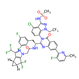 Cc1ccc(F)c(-c2ccc3c(=O)n(-c4ccc(Cl)c5c(NS(C)(=O)=O)nn(CC(F)(F)F)c45)c([C@H](Cc4cc(F)cc(F)c4)NC(=O)Cn4nc(C(F)F)c5c4C(F)(F)[C@@H]4C[C@H]54)nc3c2)n1